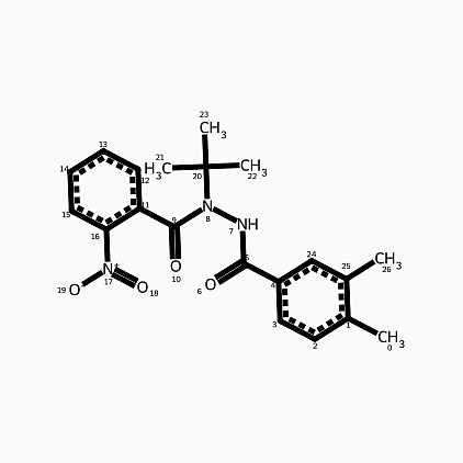 Cc1ccc(C(=O)NN(C(=O)c2ccccc2[N+](=O)[O-])C(C)(C)C)cc1C